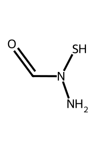 NN(S)C=O